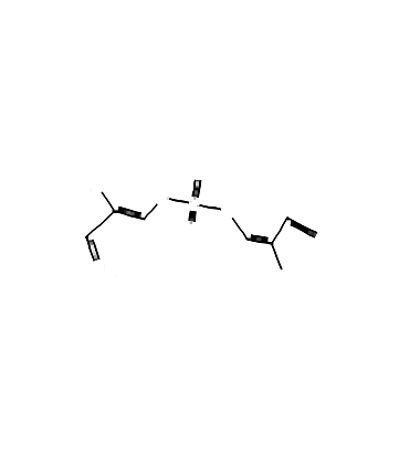 C=CC(C)=COS(=O)(=O)OC=C(C)C=C